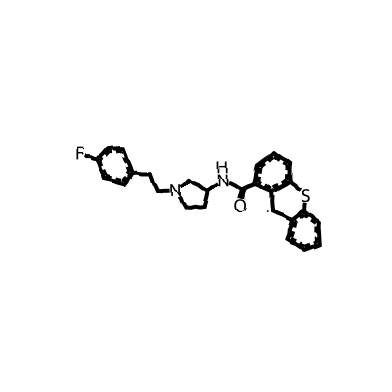 O=C(NC1CCN(CCc2ccc(F)cc2)C1)c1cccc2c1[CH]c1ccccc1S2